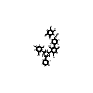 Cc1cc(C)c(-c2nc(-c3ccccc3)nc(-c3c(C)cc(C)c(-c4ccc(N(C)c5c(C)c(C)cc(C)c5C)cc4)c3C)n2)c(C)c1